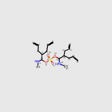 C=CCC(CC=C)C(NCC)OS(=O)(=O)OC(NCC)C(CC=C)CC=C